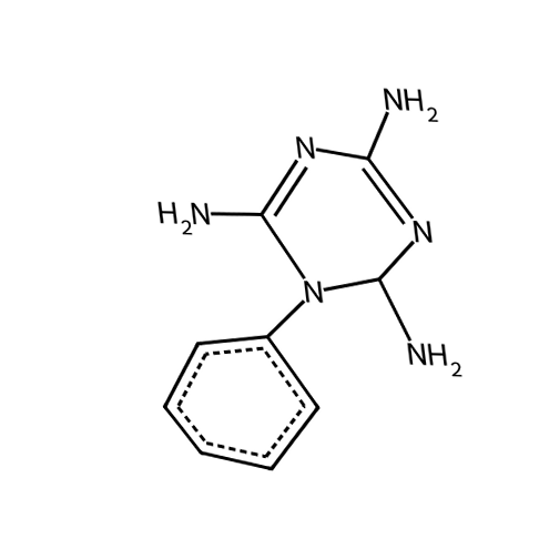 NC1=NC(N)N(c2ccccc2)C(N)=N1